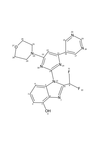 Oc1cccc2c1nc(C(F)F)n2-c1nc(-c2cncnc2)cc(N2CCOCC2)n1